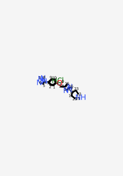 Cl.c1cc(-n2cnnn2)ccc1OCc1cnn(C2CCNCC2)n1